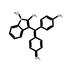 C=c1ccc(=C(c2ccc(C)cc2)c2c(C)n(C)c3ccccc23)cc1